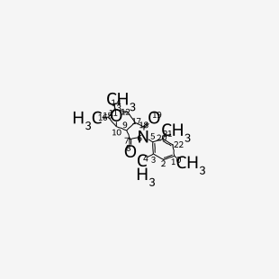 Cc1cc(C)c(N2C(=O)C3C4OC(C(C)C4C)C3C2=O)c(C)c1